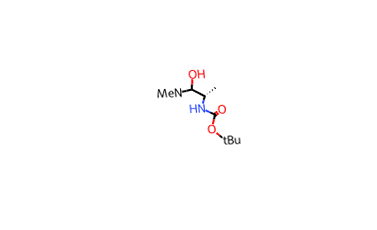 CNC(O)[C@H](C)NC(=O)OC(C)(C)C